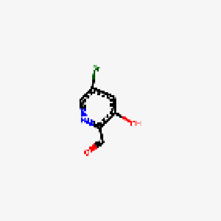 O=Cc1ncc(Br)cc1O